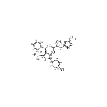 Cc1cc(CN(C)C(=O)Oc2c(-c3ccc(Cl)cc3)cc(C(F)(F)F)n2Cc2ccccc2)no1